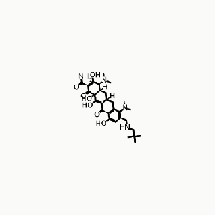 CN(C)c1c(CNCC(C)(C)C)cc(O)c2c1C[C@H]1C[C@H]3[C@H](N(C)C)C(O)=C(C(N)=O)C(=O)[C@@]3(O)C(O)=C1C2=O